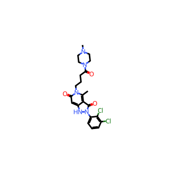 Cc1c2c(=O)n(-c3cccc(Cl)c3Cl)[nH]c2cc(=O)n1CCCC(=O)N1CCN(C)CC1